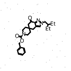 CCC(CC)Cn1cc2c(n1)C(=O)CC1(CCN(C(=O)OCc3ccccc3)CC1)C2